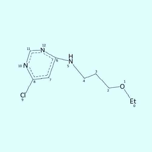 CCOCCCNc1cc(Cl)ncn1